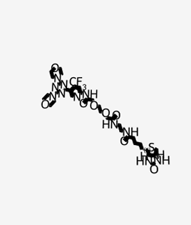 O=C(CCCC[C@@H]1SC[C@@H]2NC(=O)N[C@@H]21)NCCNC(=O)COCCOCC(=O)Nc1cc(C(F)(F)F)c(-c2nc(N3CCOCC3)nc(N3CCOCC3)n2)cn1